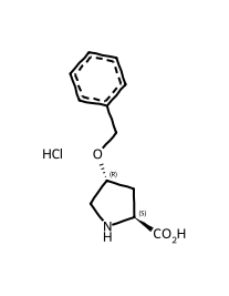 Cl.O=C(O)[C@@H]1C[C@@H](OCc2ccccc2)CN1